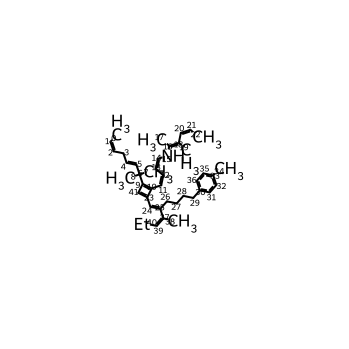 C/C=C\C/C=C/C(C)(C)C1=C(/C=C\C=C/N/C(C)=C(C)/C=C\C)C(/C=C(CCCCc2ccc(C)cc2)/C(C)=C\CC)=C1